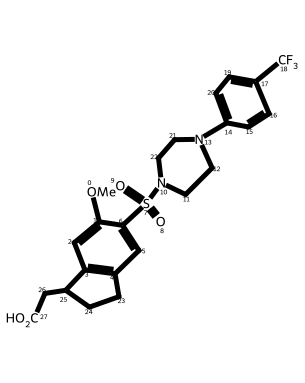 COc1cc2c(cc1S(=O)(=O)N1CCN(c3ccc(C(F)(F)F)cc3)CC1)CCC2CC(=O)O